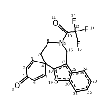 O=C1C=CC2(C=C1)CCN(C(=O)C(F)(F)F)Cc1c2sc2ccccc12